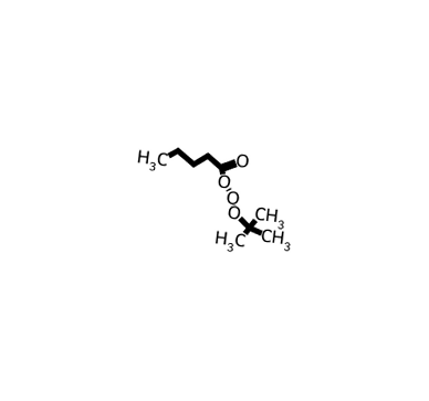 CCCCC(=O)OOOC(C)(C)C